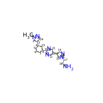 Cn1cc(-c2cccc(-c3ncc(-c4cnn(CCN)c4)cn3)c2)cn1